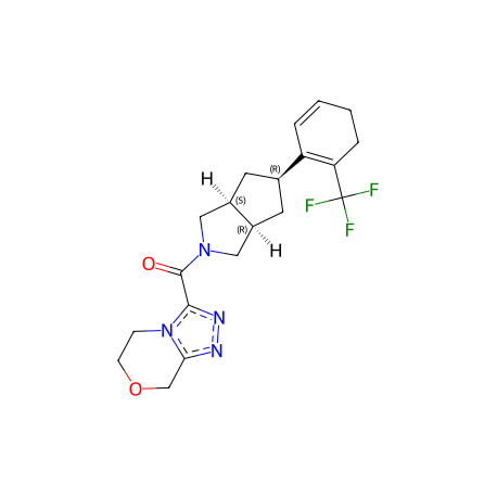 O=C(c1nnc2n1CCOC2)N1C[C@H]2C[C@@H](C3=C(C(F)(F)F)CCC=C3)C[C@H]2C1